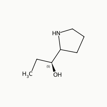 CC[C@H](O)C1CCCN1